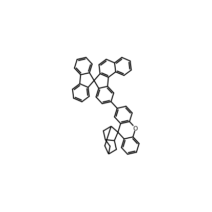 c1ccc2c(c1)Oc1ccc(-c3ccc4c(c3)-c3c(ccc5ccccc35)C43c4ccccc4-c4ccccc43)cc1C21C2CC3CC(C2)C1C3